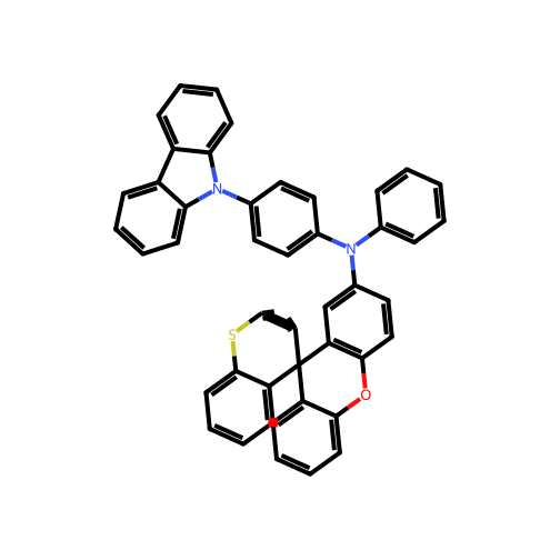 c1ccc(N(c2ccc(-n3c4ccccc4c4ccccc43)cc2)c2ccc3c(c2)C2(c4ccccc4O3)c3ccccc3Sc3ccccc32)cc1